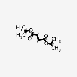 CC(C)OC(=O)CCC(=O)OC(C)C